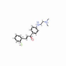 CN(C)CCNc1ccc(C(=O)C=Cc2ccccc2F)cc1